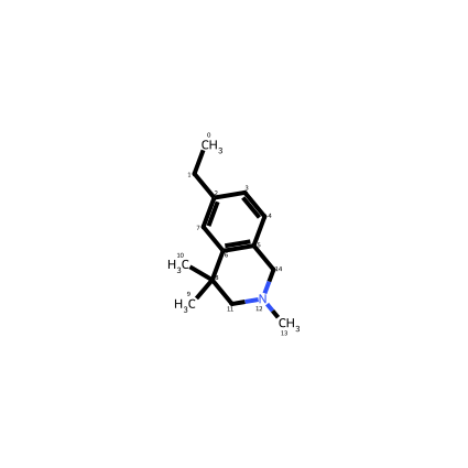 CCc1ccc2c(c1)C(C)(C)CN(C)C2